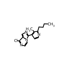 CCCCc1nccc(-c2ncc3c(Cl)nccn23)c1C